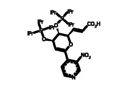 CC(C)[Si](O[C@@H]1[C@@H](C=CC(=O)O)OC(c2ccncc2[N+](=O)[O-])=C[C@H]1O[Si](C(C)C)(C(C)C)C(C)C)(C(C)C)C(C)C